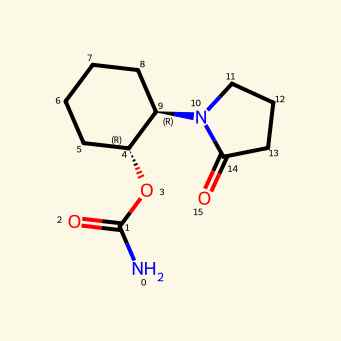 NC(=O)O[C@@H]1CCCC[C@H]1N1CCCC1=O